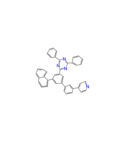 C1=C=C(c2cc(-c3cccc(-c4ccncc4)c3)cc(-c3nc(-c4ccccc4)nc(-c4ccccc4)n3)c2)c2ccccc2C=1